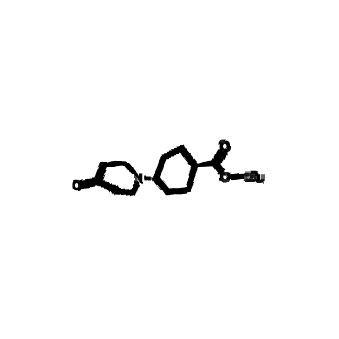 CC(C)(C)OC(=O)[C@H]1CC[C@H](N2CCC(=O)CC2)CC1